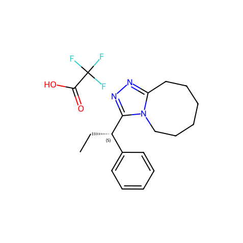 CC[C@@H](c1ccccc1)c1nnc2n1CCCCCC2.O=C(O)C(F)(F)F